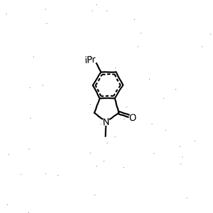 CC(C)c1ccc2c(c1)CN(C)C2=O